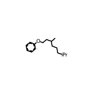 CC(C)CCCC(C)CCOc1[c]cccc1